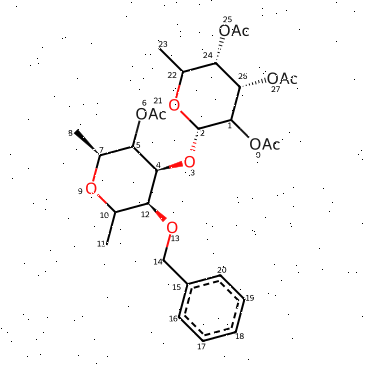 CC(=O)OC1[C@H](O[C@@H]2C(OC(C)=O)[C@H](C)OC(C)[C@@H]2OCc2ccccc2)OC(C)[C@H](OC(C)=O)[C@@H]1OC(C)=O